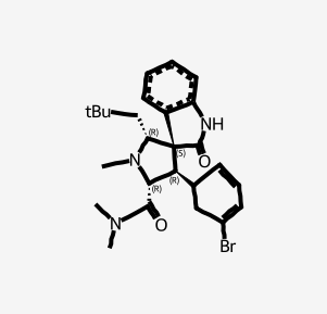 CN(C)C(=O)[C@H]1[C@H](C2C=CC=C(Br)C2)[C@@]2(C(=O)Nc3ccccc32)[C@@H](CC(C)(C)C)N1C